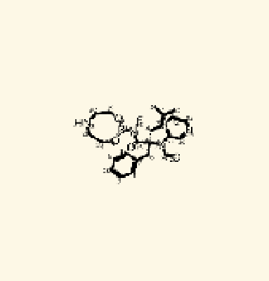 CC(C)CC[C@](Cc1ccccc1)(C(=O)N(F)B1OCCNCCO1)N(C=O)c1cnccn1